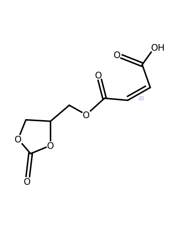 O=C(O)/C=C\C(=O)OCC1COC(=O)O1